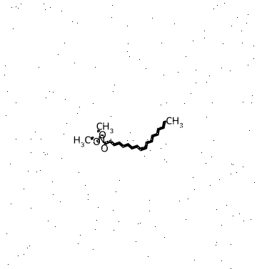 CCCCCCCC/C=C\CCCCCCCC(=O)N(OCC)OCC